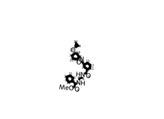 COC(=O)C(NCCNC(=O)c1cccc(-c2nc3cc(OC4CC4)ccc3o2)c1)c1ccccc1